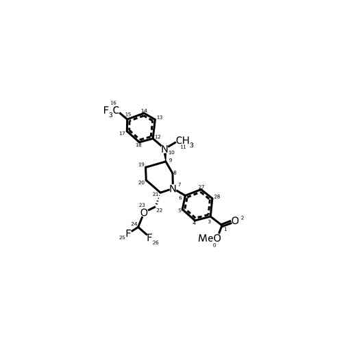 COC(=O)c1ccc(N2C[C@H](N(C)c3ccc(C(F)(F)F)cc3)CC[C@H]2COC(F)F)cc1